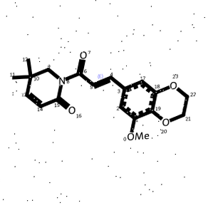 COc1cc(/C=C/C(=O)N2CC(C)(C)C=CC2=O)cc2c1OCCO2